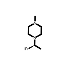 CC(C)[C@H](C)N1CCN(C)CC1